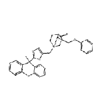 CC1(c2ncc(C[N+]34CCC(CC3)[C@H](CSc3ccccc3)C4)o2)c2ccccc2Oc2ccccc21